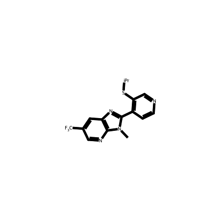 CC(C)Sc1cnccc1-c1nc2cc(C(F)(F)F)cnc2n1C